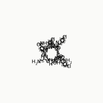 CC(O)C1NC(=O)[C@H](CCCCN)NC(=O)[C@@H](Cc2ccc(C(N)=O)cc2)NC(=O)[C@H](Cc2ccc(Cl)cc2)NC(=O)[C@H](NC(=O)[C@@H](N)Cc2ccc(Cl)cc2)CSSC[C@@H](C(=O)N[C@H](Cc2ccc(Cl)cc2)C(N)=O)NC1=O